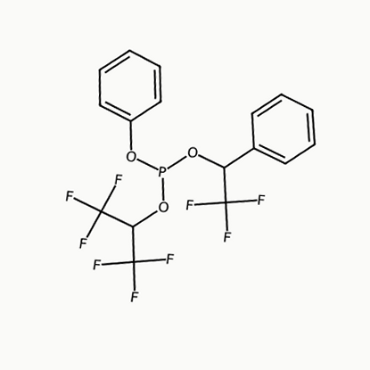 FC(F)(F)C(OP(Oc1ccccc1)OC(C(F)(F)F)C(F)(F)F)c1ccccc1